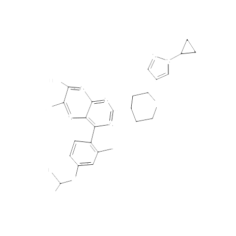 Cc1nc2nc([C@H]3CCO[C@@H](c4cnn(C5CC5)c4)C3)nc(-c3ccc(OC(F)F)cc3F)c2nc1C